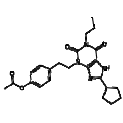 CCCn1c(=O)c2[nH]c(C3CCCC3)nc2n(CCc2ccc(OC(C)=O)cc2)c1=O